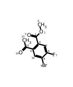 COC(=O)c1cc(F)c(Br)cc1C(C)=O